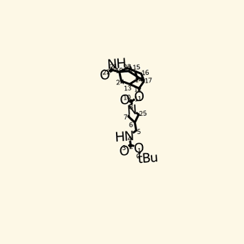 CC(C)(C)OC(=O)NCC1CN(C(=O)OC2C3CC4CC2CC(C(N)=O)(C4)C3)C1